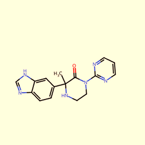 CC1(c2ccc3nc[nH]c3c2)NCCN(c2ncccn2)C1=O